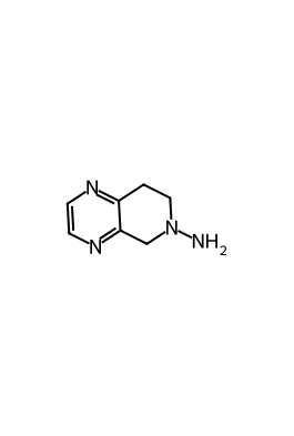 NN1CCc2nccnc2C1